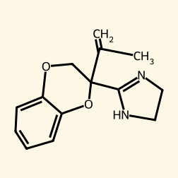 C=C(C)C1(C2=NCCN2)COc2ccccc2O1